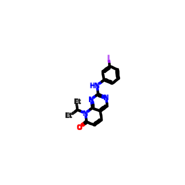 CCC(CC)n1c(=O)ccc2cnc(Nc3cccc(I)c3)nc21